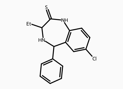 CCC1NC(c2ccccc2)c2cc(Cl)ccc2NC1=S